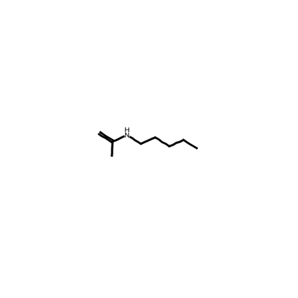 C=C(C)NCCCCC